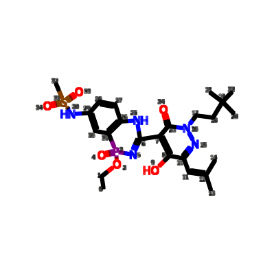 CCOP1(=O)N=C(c2c(O)c(C=C(C)C)nn(CCC(C)(C)C)c2=O)Nc2ccc(NS(C)(=O)=O)cc21